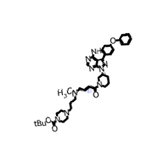 CN(C/C=C/C(=O)N1CCC[C@@H](n2nc(-c3ccc(Oc4ccccc4)cc3)c3c(N)ncnc32)C1)CCCN1CCN(C(=O)OC(C)(C)C)CC1